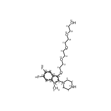 Cn1c(N2CCNCC2)c(OCCOCCOCCOCCO)c2cc(F)c(F)cc21